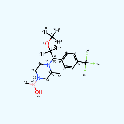 [2H]C([2H])([2H])OC([2H])([2H])[C@@H](c1ccc(C(F)(F)F)cc1)N1CCN(B(C)O)C[C@@H]1C